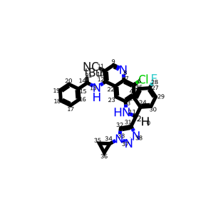 [2H][C@](Nc1cc(Cl)c2ncc(C#N)c(NC(c3ccccc3)C(C)(C)C)c2c1)(c1ccc(F)cc1)c1cn(C2CC2)nn1